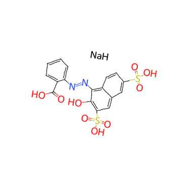 O=C(O)c1ccccc1N=Nc1c(O)c(S(=O)(=O)O)cc2cc(S(=O)(=O)O)ccc12.[NaH]